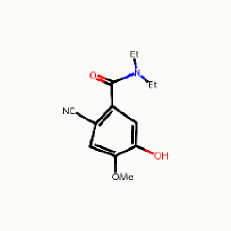 CCN(CC)C(=O)c1cc(O)c(OC)cc1C#N